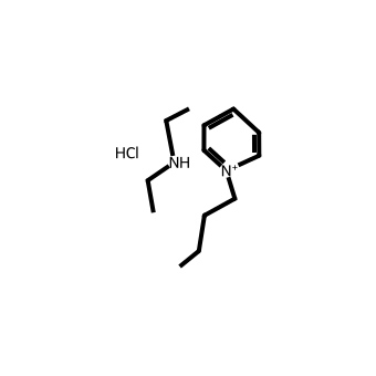 CCCC[n+]1ccccc1.CCNCC.Cl